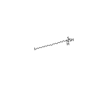 S=C(S)NCCCCCCCCCCCCCCCCCCCCCCCCI